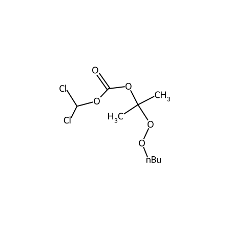 CCCCOOC(C)(C)OC(=O)OC(Cl)Cl